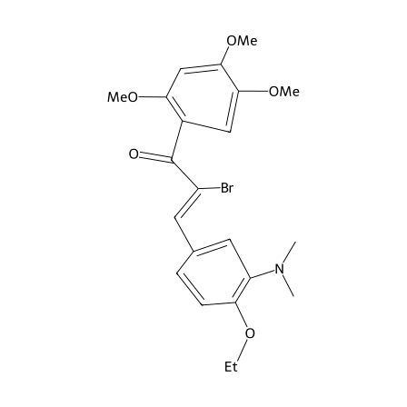 CCOc1ccc(C=C(Br)C(=O)c2cc(OC)c(OC)cc2OC)cc1N(C)C